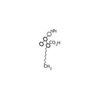 C=CCCCCCCCCc1ccc(C(=O)O)c(-c2cc(C3=CCC(CCC)CC3)ccc2-c2ccccc2)c1